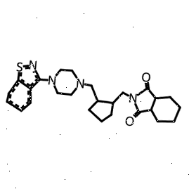 O=C1C2CCCCC2C(=O)N1CC1CCCC1CN1CCN(c2nsc3ccccc23)CC1